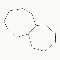 C1CCCC2CCCCC[C]2CC1